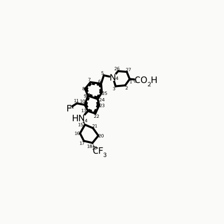 O=C(O)C1CCN(Cc2ccc3c(CF)c(N[C@H]4CC[C@@H](C(F)(F)F)CC4)ccc3c2)CC1